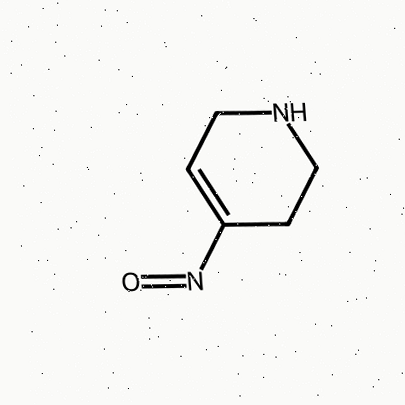 O=NC1=CCNCC1